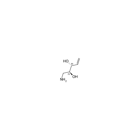 C=C[C@@H](O)[C@@H](O)CN